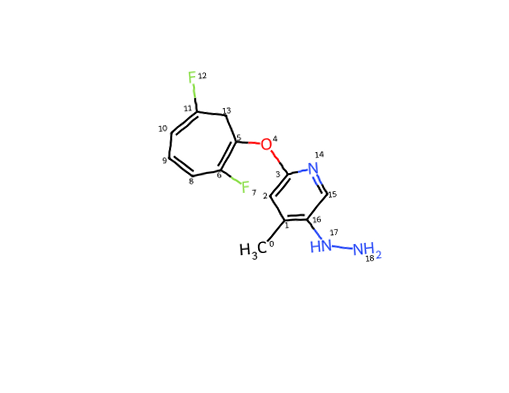 Cc1cc(OC2=C(F)C=CC=C(F)C2)ncc1NN